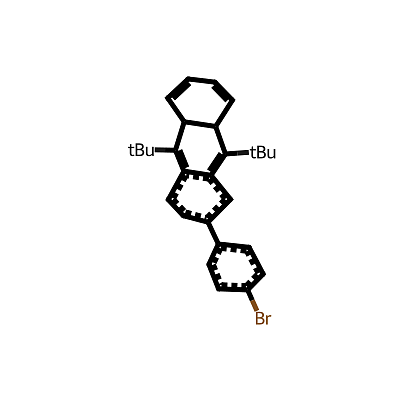 CC(C)(C)C1=c2ccc(-c3ccc(Br)cc3)cc2=C(C(C)(C)C)C2C=CC=CC12